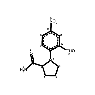 NC(=O)C1CCCN1c1ccc([N+](=O)[O-])cc1C=O